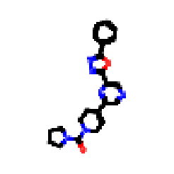 O=C(N1CC=C(c2cncc(-c3nnc(-c4ccccc4)o3)n2)CC1)N1CCCC1